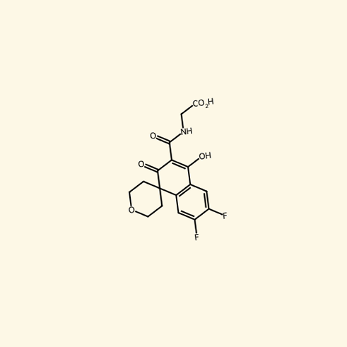 O=C(O)CNC(=O)C1=C(O)c2cc(F)c(F)cc2C2(CCOCC2)C1=O